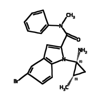 C[C@H]1C[C@]1(N)n1c(C(=O)N(C)c2ccccc2)cc2cc(Br)ccc21